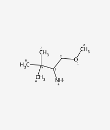 COCC([NH])C(C)(C)C